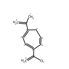 C=C(C)C1=CC=C(C(=C)Cl)C=CC1